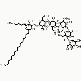 CCCCCCCCCCCCC/C=C/[C@@H](O)[C@H](CO[C@@H]1OC(CO)[C@@H](O[C@@H]2OC(CO)[C@H](O)[C@H](O[C@@H]3OC(CO)[C@@H](O[C@@H]4OC(CO)[C@H](O)[C@H](O[C@H]5OC(CO)[C@H](O)[C@H](O)C5O)C4O)[C@H](O)C3NC(C)=O)C2O)[C@H](O)C1O)NC(=O)CCCCCCCCCCCCCCCCCCCCCCCCC